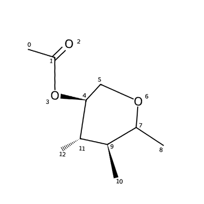 CC(=O)O[C@H]1COC(C)[C@@H](C)[C@@H]1C